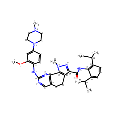 COc1cc(N2CCN(C)CC2)ccc1Nc1ncc2c(n1)-c1c(c(C(=O)Nc3c(C(C)C)cccc3C(C)C)nn1C)CC2